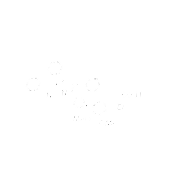 CCC(Cc1cc(OC)c(OC)c(-n2c(C)cc(C(=O)N3CCN(Cc4ccccc4)C[C@H]3Cc3ccccc3)c2-c2ccccc2)c1)C(=O)O